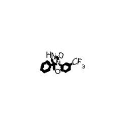 O=C1NCC2(c3ccccc3)COc3ccc(C(F)(F)F)cc3N12